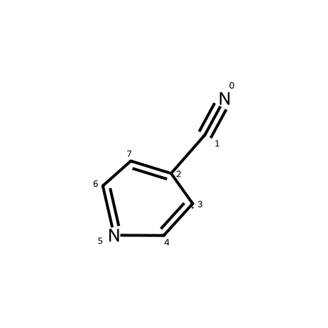 N#Cc1[c]cncc1